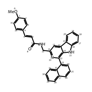 COc1ccc(/C=C/C(=O)NCc2cc3c([nH]c4ccccc43)c(-c3cccc4ccccc34)n2)cc1